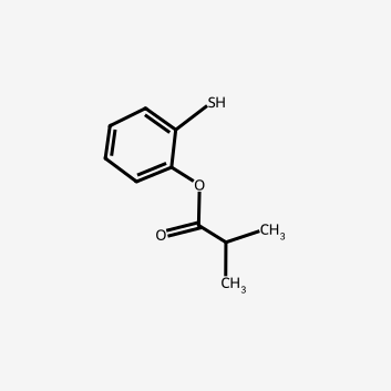 CC(C)C(=O)Oc1ccccc1S